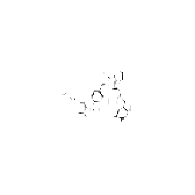 CNCCOC(=O)[C@H](NC1C=CC(CNC(=O)[C@@H]2SCCN2C(=O)C[C@H](N)Cc2cc(F)c(F)cc2F)=CC1)C(C)C